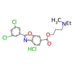 CCN(C)CCCOC(=O)c1ccc2nc(-c3cc(Cl)cc(Cl)c3)oc2c1.Cl